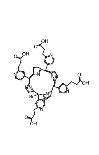 O=C(O)CCc1cc(C2=C3C=CC(=N3)C(c3ccnc(CCC(=O)O)c3)=c3ccc([nH]3)=C(c3ccnc(CCC(=O)O)c3)C3=NC(Br)(C=C3)C(Br)(c3ccnc(CCC(=O)O)c3)c3ccc2[nH]3)ccn1